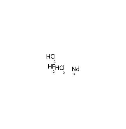 Cl.Cl.F.[Nd]